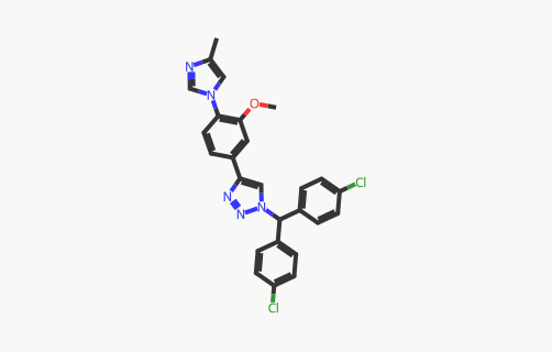 COc1cc(-c2cn(C(c3ccc(Cl)cc3)c3ccc(Cl)cc3)nn2)ccc1-n1cnc(C)c1